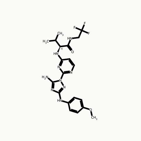 COc1ccc(Nc2nc(N)n(-c3nccc(N[C@H](C(=O)NCC(F)(F)F)C(C)C)n3)n2)cc1